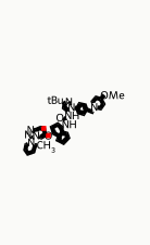 COC1CCN(Cc2ccc(-n3nc(C(C)(C)C)cc3NC(=O)N[C@H]3CC[C@@H](Oc4ccc5nnc(N6CCCCC6C)n5c4)c4ccccc43)cc2)CC1